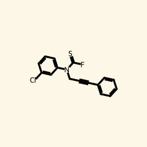 FC(=S)N(CC#Cc1ccccc1)c1cccc(Cl)c1